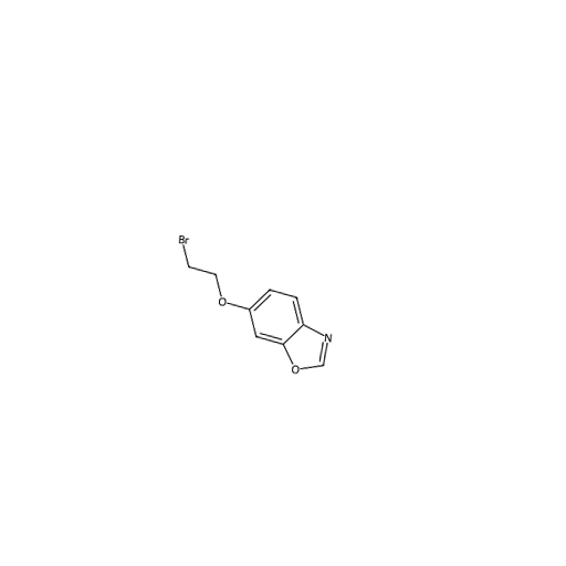 BrCCOc1ccc2ncoc2c1